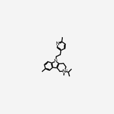 Cc1ccc2c(c1)c1c(n2CCc2ccc(C)nc2)CC[N+](C)(C(C)C)C1